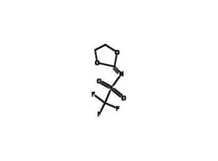 O=S(=O)(N=C1OCCO1)C(F)(F)F